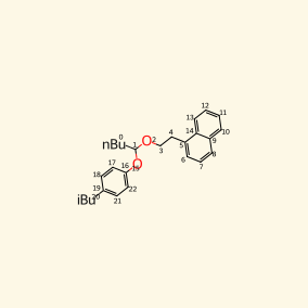 CCCCC(OCCc1cccc2ccccc12)Oc1ccc(C(C)CC)cc1